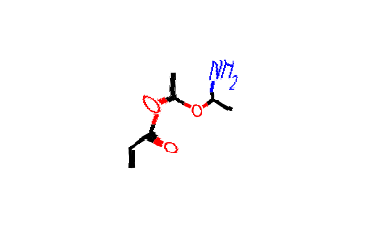 C=CC(=O)OC(C)OC(C)N